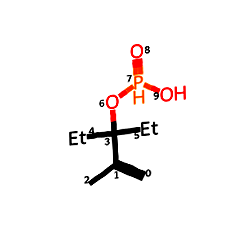 C=C(C)C(CC)(CC)O[PH](=O)O